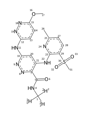 [2H]C([2H])([2H])NC(=O)c1nnc(Nc2ccc(OC)nn2)cc1Nc1nc(C)ccc1S(C)(=O)=O